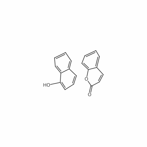 O=c1ccc2ccccc2o1.Oc1cccc2ccccc12